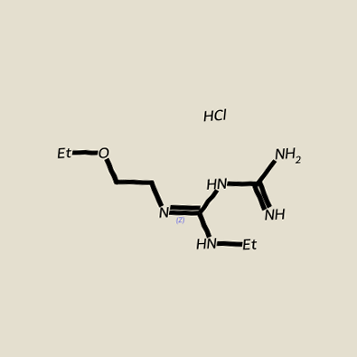 CCN/C(=N/CCOCC)NC(=N)N.Cl